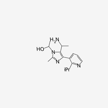 Cc1nc(-c2cccnc2C(C)C)c(C(C)N)n1C(C)O